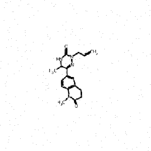 C=CCN1N=C(c2ccc3c(c2)CCC(=O)N3C)C(C)NC1=O